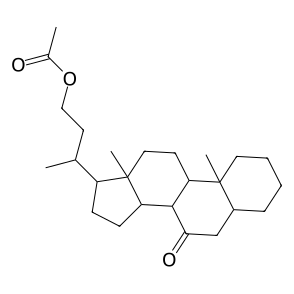 CC(=O)OCCC(C)C1CCC2C3C(=O)CC4CCCCC4(C)C3CCC12C